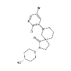 O=C1N([C@H]2CC[C@@H](O)CC2)CCC12CCCN(c1cc(Br)cnc1Cl)C2